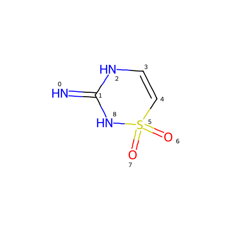 N=C1NC=CS(=O)(=O)N1